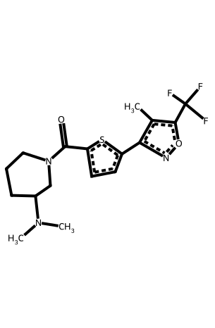 Cc1c(-c2ccc(C(=O)N3CCCC(N(C)C)C3)s2)noc1C(F)(F)F